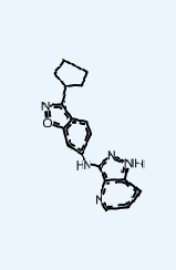 c1cnc2c(Nc3ccc4c(C5CCCC5)noc4c3)n[nH]c2c1